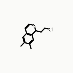 Cc1cc2c(cc1C)C(CCCl)SC=C2